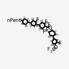 CCCCCc1ccc(-c2ccc(-c3cc(F)c(C(F)(F)Oc4ccc(-c5ccc(OC(F)(F)F)c(F)c5)cc4)c(F)c3)c(F)c2)cc1